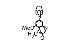 COc1cc(N2CC3CCC(C2)O3)cc2ncc(=O)n(C)c12